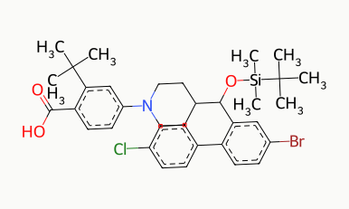 CC(C)(C)c1cc(N2CCC(C(O[Si](C)(C)C(C)(C)C)c3cc(Br)ccc3-c3ccc(Cl)cc3)CC2)ccc1C(=O)O